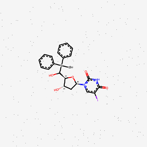 CC(C)(C)[Si](c1ccccc1)(c1ccccc1)C(O)[C@H]1O[C@@H](n2cc(I)c(=O)[nH]c2=O)C[C@@H]1O